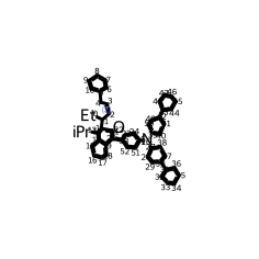 CCC(/C=C\Cc1ccccc1)c1c(C(C)C)c2ccccc2c2c1oc1cc(N(c3ccc(-c4ccccc4)cc3)c3ccc(-c4ccccc4)cc3)ccc12